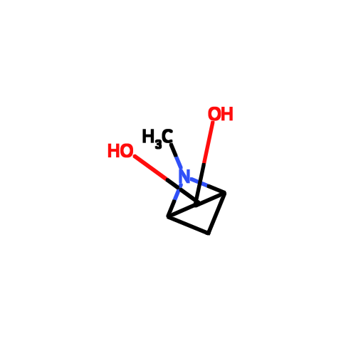 CN1C2CC1C(O)C2O